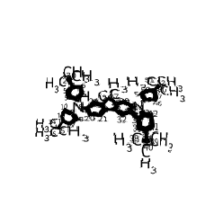 CC(C)(C)c1ccc(N(c2ccc(C(C)(C)C)cc2)c2ccc3c(c2)C(C)(C)c2cc4c(cc2-3)c2cc(C(C)(C)C)ccc2n4-c2ccc(C(C)(C)C)cc2)cc1